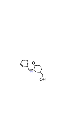 O=C1CCC(CO)C/C1=C/c1ccccc1